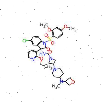 CCOc1ncccc1[C@]1(NC(=O)N2CC(N3CCC(N(C)C4COC4)CC3)C2)C(=O)N(S(=O)(=O)c2ccc(OC)cc2OC)c2ccc(Cl)cc21